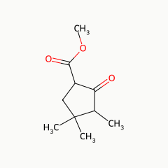 COC(=O)C1CC(C)(C)C(C)C1=O